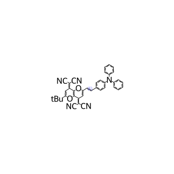 CC(C)(C)C1=CC(=C(C#N)C#N)C2=C(O1)C(=C(C#N)C#N)C=C(/C=C/c1ccc(N(c3ccccc3)c3ccccc3)cc1)O2